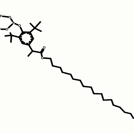 CCCCCCCCCCCCCCCCCCOC(=O)C(C)c1cc(C(C)(C)C)c(OP(OF)OF)c(C(C)(C)C)c1